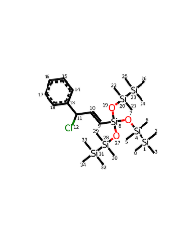 C[Si](C)(C)[Si](C)(C)O[Si](C=CC(Cl)c1ccccc1)(O[Si](C)(C)[Si](C)(C)C)O[Si](C)(C)[Si](C)(C)C